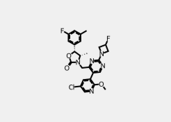 COc1ncc(Cl)cc1-c1cnc(N2CC(F)C2)nc1CN1C(=O)O[C@H](c2cc(C)cc(F)c2)[C@@H]1C